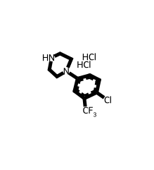 Cl.Cl.FC(F)(F)c1cc(N2CCNCC2)ccc1Cl